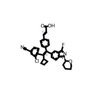 N#Cc1ccc(/C(=C(\c2ccc(/C=C/C(=O)O)cc2)c2ccc3c(c2)c(F)nn3C2CCCCO2)C2CCC2)c(Cl)c1